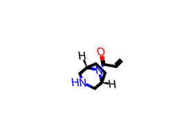 C=CC(=O)N1[C@@H]2CC[C@H]1CNC2